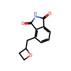 O=C1NC(=O)c2c(CC3CCO3)cccc21